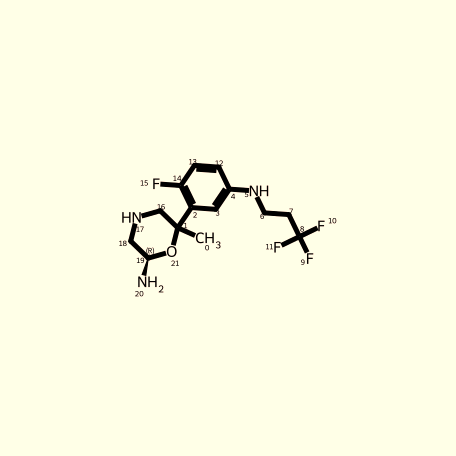 CC1(c2cc(NCCC(F)(F)F)ccc2F)CNC[C@H](N)O1